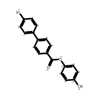 CCc1ccc(-c2ccc(C(=O)Oc3ccc(C#N)cc3)cc2)cc1